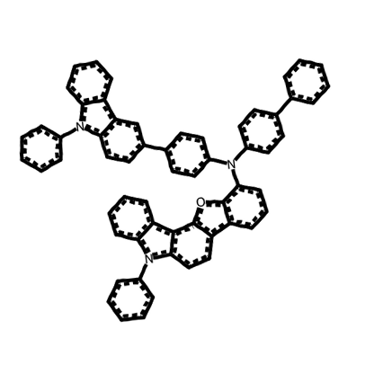 c1ccc(-c2ccc(N(c3ccc(-c4ccc5c(c4)c4ccccc4n5-c4ccccc4)cc3)c3cccc4c3oc3c4ccc4c3c3ccccc3n4-c3ccccc3)cc2)cc1